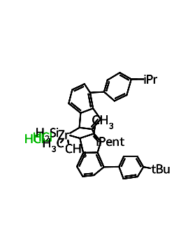 CCCC(C)C1=Cc2c(-c3ccc(C(C)C)cc3)cccc2[CH]1[Zr]([CH3])([CH3])(=[SiH2])[CH]1C(C)=Cc2c(-c3ccc(C(C)(C)C)cc3)cccc21.Cl.Cl